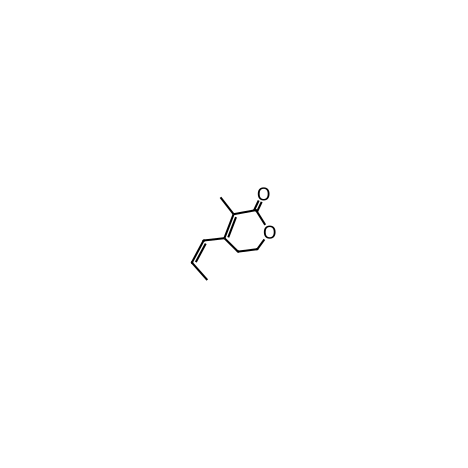 C/C=C\C1=C(C)C(=O)OCC1